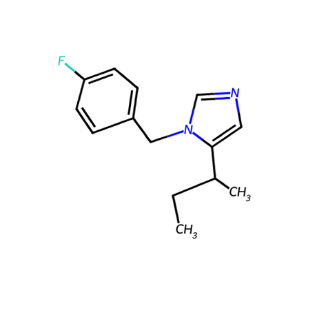 CCC(C)c1cncn1Cc1ccc(F)cc1